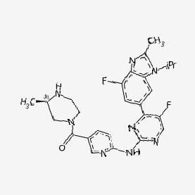 Cc1nc2c(F)cc(-c3nc(Nc4ccc(C(=O)N5CCN[C@H](C)C5)cn4)ncc3F)cc2n1C(C)C